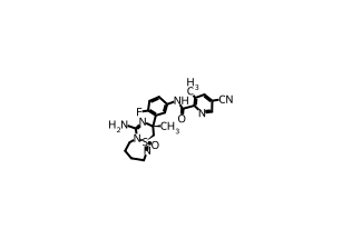 Cc1cc(C#N)cnc1C(=O)Nc1ccc(F)c([C@]2(C)C[S@@]3(=O)=NCCCCN3C(N)=N2)c1